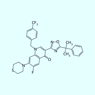 CC(C)(c1ccccc1)c1nc(-c2cn(Cc3ccc(C(F)(F)F)cc3)c3cc(N4CCSCC4)c(F)cc3c2=O)no1